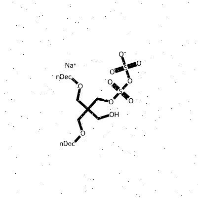 CCCCCCCCCCOCC(CO)(COCCCCCCCCCC)COS(=O)(=O)OS(=O)(=O)[O-].[Na+]